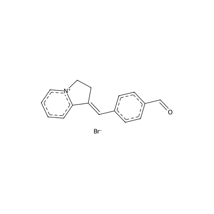 O=Cc1ccc(C=C2CC[n+]3ccccc32)cc1.[Br-]